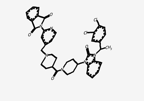 CC(c1ccc(Cl)c(Cl)c1)n1c(=O)n(C2CCN(C(=O)C3CCN(Cc4ccnc(N5C(=O)c6ccccc6C5=O)c4)CC3)CC2)c2ccccc21